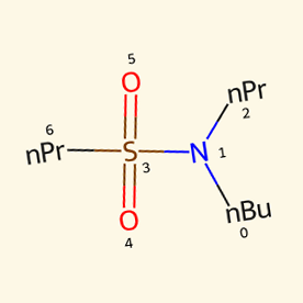 CCCCN(CCC)S(=O)(=O)CCC